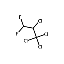 FC(F)C(Cl)C(Cl)(Cl)Cl